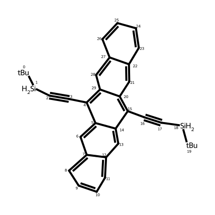 CC(C)(C)[SiH2]C#Cc1c2cc3ccccc3cc2c(C#C[SiH2]C(C)(C)C)c2cc3ccccc3cc12